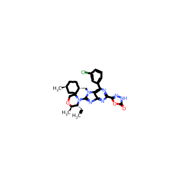 C=C[C@@H]1[C@@H](C)OCCN1c1nc2nc(-c3n[nH]c(=O)o3)nc(-c3cccc(Cl)c3)c2n1C[C@H]1CC[C@H](C)CC1